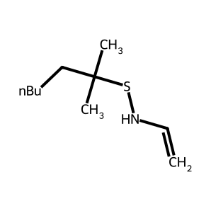 C=CNSC(C)(C)CCCCC